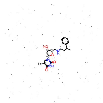 CCc1cn([C@H]2C[C@H](O)[C@@H](CNCCC(C)c3ccccc3)O2)c(=O)[nH]c1=O